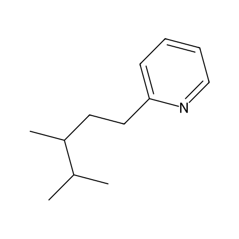 CC(C)C(C)CCc1ccccn1